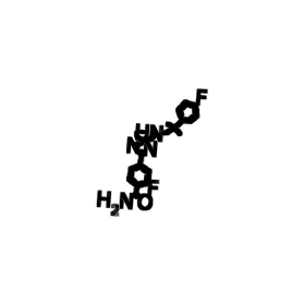 CC(C)(CNc1nc(-c2ccc(C(N)=O)c(F)c2)ns1)c1ccc(F)cc1